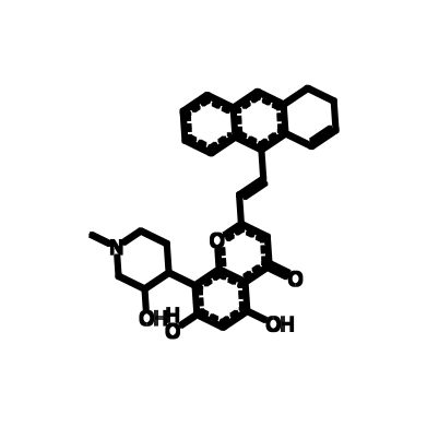 CN1CCC(c2c(O)cc(O)c3c(=O)cc(/C=C/c4c5c(cc6ccccc46)CCC=C5)oc23)C(O)C1